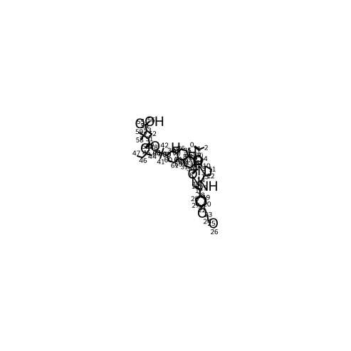 C=C(C)[C@@H]1CC[C@]2(C(=O)N3CCCC3c3ncc(-c4ccc(OCCOC)cc4)[nH]3)CC[C@]3(C)[C@H](CC[C@@H]4C[C@H](C(C)(C)[C@H](CCCC)OC(=O)C5CC(C(=O)O)C5(C)C)CC[C@]43C)[C@@H]12